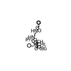 CC(C)[C@H](CC1OC(C)(C)N(C(=O)OC(C)(C)C)[C@H]1CC1CCCCC1)C(=O)NCCCNC(=O)OCc1ccccc1